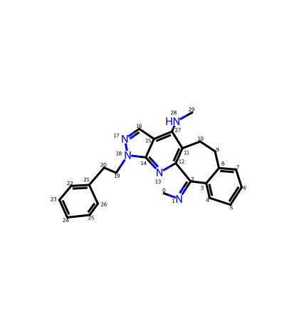 CN=C1c2ccccc2CCc2c1nc1c(cnn1CCc1ccccc1)c2NC